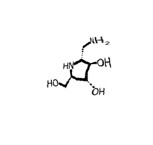 NC[C@H]1N[C@H](CO)[C@@H](O)[C@@H]1O